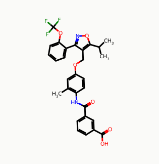 Cc1cc(OCc2c(-c3ccccc3OC(F)(F)F)noc2C(C)C)ccc1NC(=O)c1cccc(C(=O)O)c1